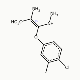 Cc1cc(O/C(NN)=C(/N)C(=O)O)ccc1Cl